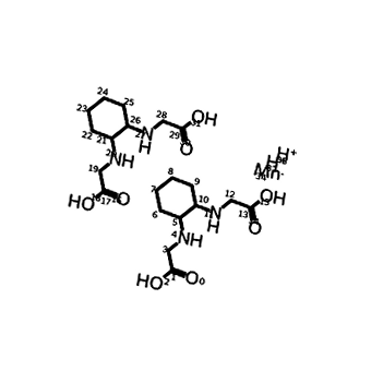 O=C(O)CNC1CCCCC1NCC(=O)O.O=C(O)CNC1CCCCC1NCC(=O)O.[H+].[H+].[Mn]